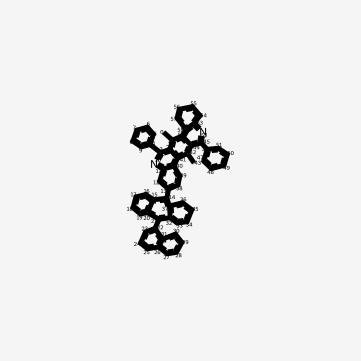 Cc1c2c(-c3ccccc3)nc3cc(-c4c5ccccc5c(-c5cccc6ccccc56)c5ccccc45)ccc3c2c(C)c2c(-c3ccccc3)nc3ccccc3c12